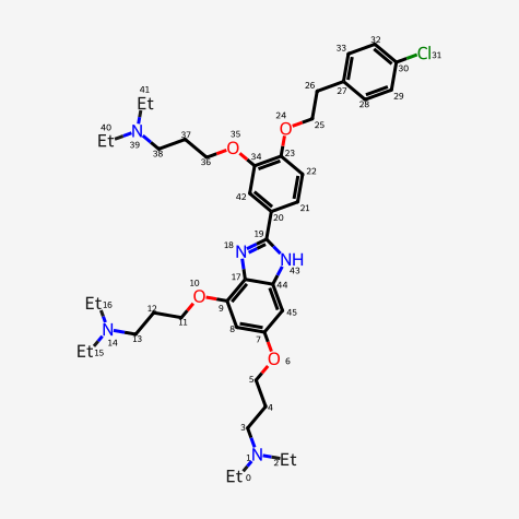 CCN(CC)CCCOc1cc(OCCCN(CC)CC)c2nc(-c3ccc(OCCc4ccc(Cl)cc4)c(OCCCN(CC)CC)c3)[nH]c2c1